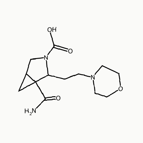 NC(=O)C12CC1CN(C(=O)O)C2CCN1CCOCC1